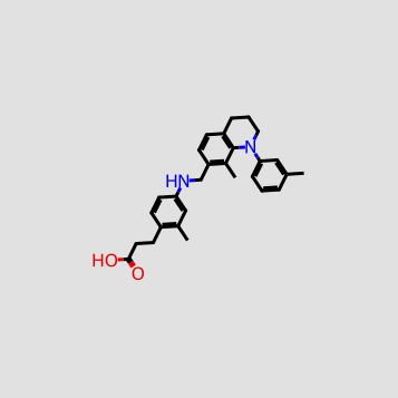 Cc1cccc(N2CCCc3ccc(CNc4ccc(CCC(=O)O)c(C)c4)c(C)c32)c1